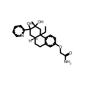 CCC12CC(C)(O)C(O)(c3ccccn3)C[C@H]1CCc1cc(OCC(N)=O)ccc12